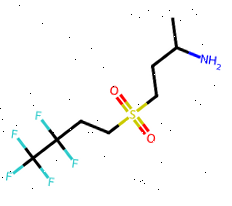 CC(N)CCS(=O)(=O)CCC(F)(F)C(F)(F)F